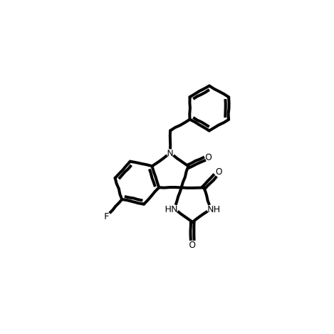 O=C1NC(=O)C2(N1)C(=O)N(Cc1ccccc1)c1ccc(F)cc12